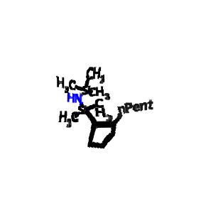 CCCCCC1=C([Si](C)(C)N[Si](C)(C)C)CC=C1